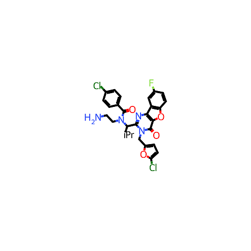 CC(C)C(c1nc2c(oc3ccc(F)cc32)c(=O)n1Cc1ccc(Cl)o1)N(CCN)C(=O)c1ccc(Cl)cc1